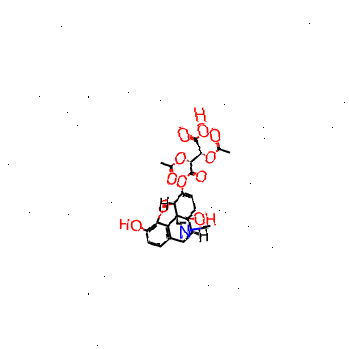 CC(=O)O[C@@H](C(=O)O)[C@@H](OC(C)=O)C(=O)OC1=CC[C@]2(O)[C@@H]3Cc4ccc(O)c5c4[C@]2(CCN3C)[C@@H]1O5